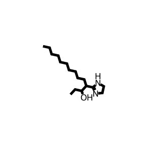 CCCCCCCCCCC(C1=NCCN1)C(O)CC